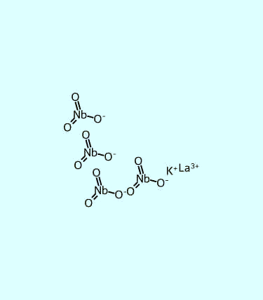 [K+].[La+3].[O]=[Nb](=[O])[O-].[O]=[Nb](=[O])[O-].[O]=[Nb](=[O])[O-].[O]=[Nb](=[O])[O-]